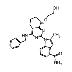 Cc1cc2c(C(N)=O)cccc2n1-c1nc(NCc2ccccc2)c2c(n1)[C@@H](OCCO)CCC2